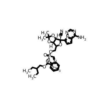 CCC(CC)COC(=O)[C@H](C)/N=C\P(=O)(OCC1O[C@@](C#N)(c2ccc3c(N)ncnn23)[C@@H]2OC(C)(C)O[C@H]12)Oc1ccccc1